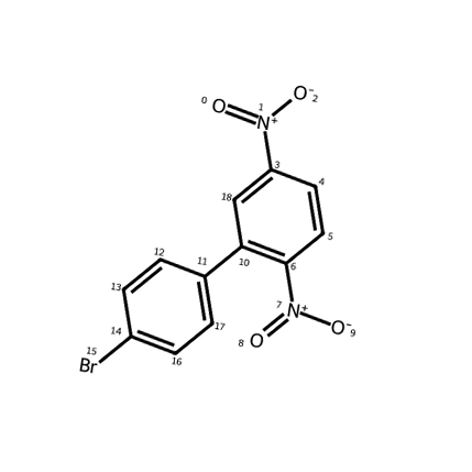 O=[N+]([O-])c1ccc([N+](=O)[O-])c(-c2ccc(Br)cc2)c1